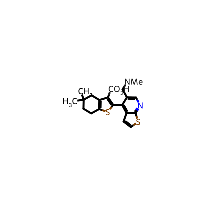 CNCc1cnc2sccc2c1-c1sc2c(c1C(=O)O)CC(C)(C)CC2